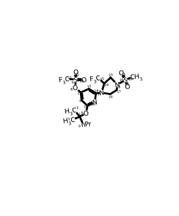 CCCC(C)(C)Oc1cc(OS(=O)(=O)C(F)(F)F)cc(N2CCN(S(C)(=O)=O)CC2C(F)(F)F)n1